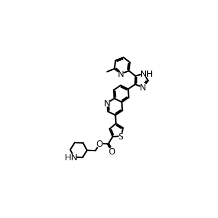 Cc1cccc(-c2[nH]cnc2-c2ccc3ncc(-c4csc(C(=O)OCC5CCCNC5)c4)cc3c2)n1